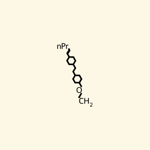 C=CCOCC1CCC(CCC2CCC(C=CCCC)CC2)CC1